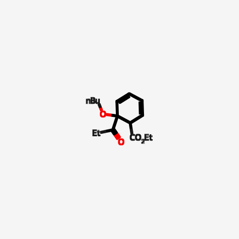 CCCCOC1(C(=O)CC)C=CC=CC1C(=O)OCC